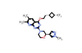 Cc1cc2c(OCC[C@H]3C[C@@H](C(F)(F)F)C3)nc(N3CCO[C@H](c4cnn(C)c4)C3)nc2nc1C